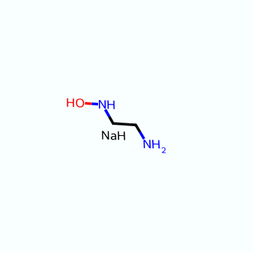 NCCNO.[NaH]